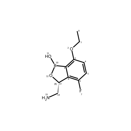 CCOc1ccc(F)c2c1B(O)O[C@H]2CN